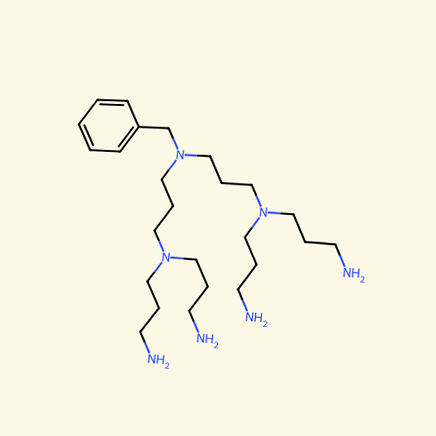 NCCCN(CCCN)CCCN(CCCN(CCCN)CCCN)Cc1ccccc1